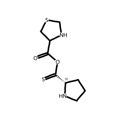 O=C(OC(=S)[C@@H]1CCCN1)C1CSCN1